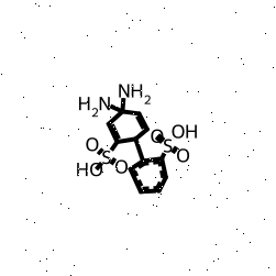 NC1(N)C=CC(c2ccccc2S(=O)(=O)O)C(S(=O)(=O)O)=C1